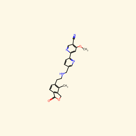 COc1cc(-c2ccc(CNCCc3ccc4c(c3C)COC4=O)cn2)ncc1C#N